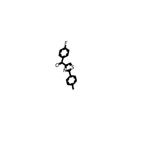 Cc1ccc(-c2nc(C(=O)c3ccc(F)cc3)cs2)cc1